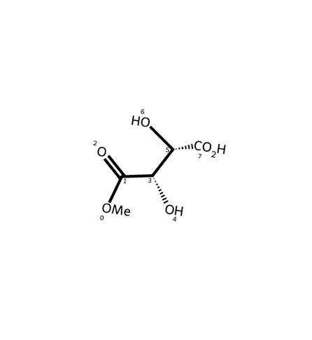 COC(=O)[C@@H](O)[C@H](O)C(=O)O